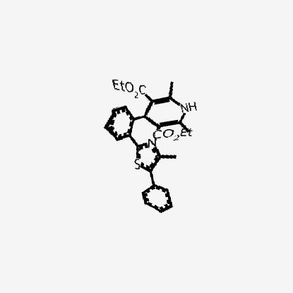 CCOC(=O)C1=C(C)NC(C)=C(C(=O)OCC)C1c1ccccc1-c1nc(C)c(-c2ccccc2)s1